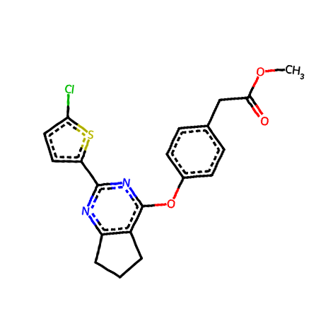 COC(=O)Cc1ccc(Oc2nc(-c3ccc(Cl)s3)nc3c2CCC3)cc1